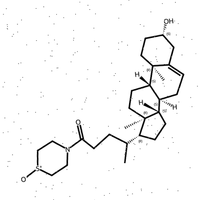 CC(CCC(=O)N1CC[S+]([O-])CC1)[C@H]1CC[C@H]2[C@@H]3CC=C4C[C@@H](O)CC[C@]4(C)[C@H]3CC[C@]12C